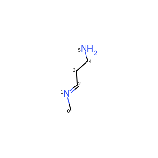 CN=CCCN